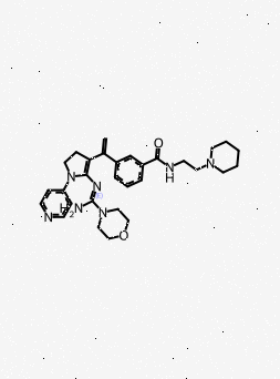 C=C(C1=C(/N=C(\N)N2CCOCC2)N(c2ccncc2)CC1)c1cccc(C(=O)NCCN2CCCCC2)c1